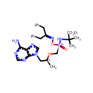 CCOC(=O)C(C)(C)N[P@@](=O)(CO[C@@H](C)Cn1cnc2c(N)ncnc21)ON=C(CC(C)C)CC(C)C